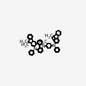 CC1CC(N(c2ccccc2)c2ccc3c4c2CC4(C)C2=C3C=CCC2)=CC=C1n1c2ccccc2c2c(N(C3=CC4C(C=C3)c3ccccc3C4(C)C)c3ccccc3)cccc21